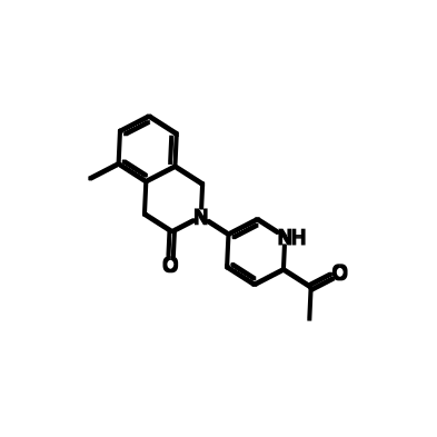 CC(=O)C1C=CC(N2Cc3cccc(C)c3CC2=O)=CN1